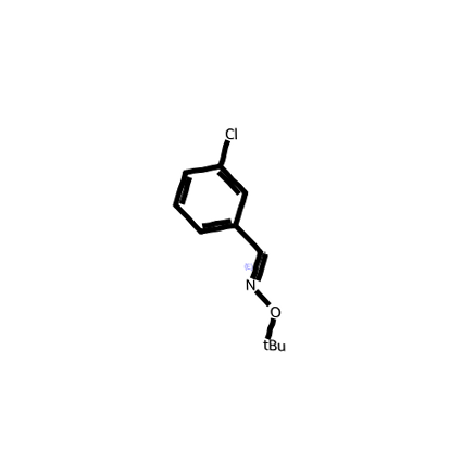 CC(C)(C)O/N=[C]/c1cccc(Cl)c1